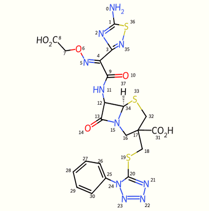 Nc1nc(C(=NOCC(=O)O)C(=O)NC2C(=O)N3CC(CSc4nnnn4-c4ccccc4)(C(=O)O)CS[C@H]23)ns1